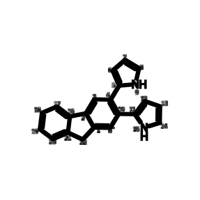 [c]1c2c(cc(-c3ccc[nH]3)c1-c1ccc[nH]1)-c1ccccc1C2